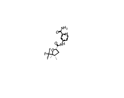 C[C@H]1C[C@@H](C(=O)Nc2ccnc(C(N)=O)c2)O[C@]1(C)C(F)(F)F